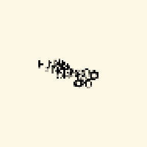 Nc1nc(O)c2nc(COC(=O)c3ccccc3OC(=O)c3ccccc3O)cnc2n1